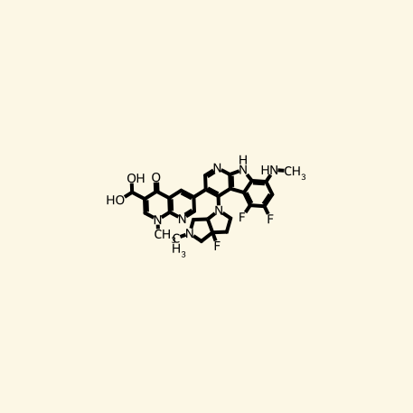 CNc1cc(F)c(F)c2c1[nH]c1ncc(-c3cnc4c(c3)c(=O)c(C(O)O)cn4C)c(N3CCC4(F)CN(C)CC34)c12